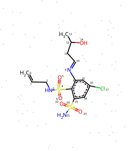 C=CCNS(=O)(=O)c1c(N=CCC(C)O)cc(Cl)cc1S(N)(=O)=O